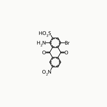 Nc1c(S(=O)(=O)O)cc(Br)c2c1C(=O)c1cc([N+](=O)[O-])ccc1C2=O